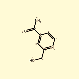 NC(=O)c1ccnc(CO)c1